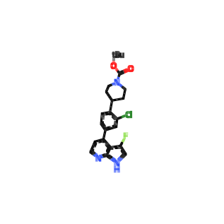 CC(C)(C)OC(=O)N1CCC(c2ccc(-c3ccnc4[nH]cc(F)c34)cc2Cl)CC1